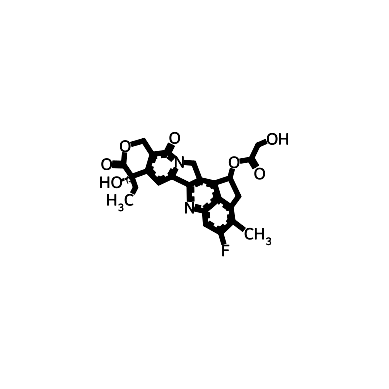 CC[C@@]1(O)C(=O)OCc2c1cc1n(c2=O)Cc2c-1nc1cc(F)c(C)c3c1c2C(OC(=O)CO)C3